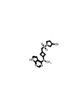 CN(c1ncnc2[nH]ccc12)C1CC(CS(=O)(=O)N2CCC(C#N)C2)C1